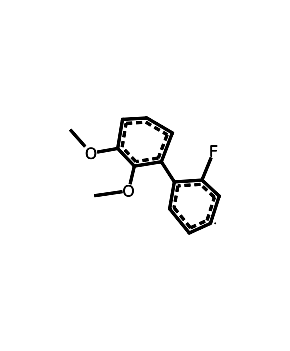 COc1cccc(-c2cc[c]cc2F)c1OC